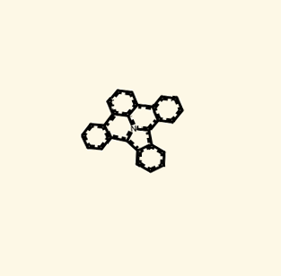 c1ccc2c(c1)c1cccc3c4ccccc4c4c5ccccc5c2n4c13